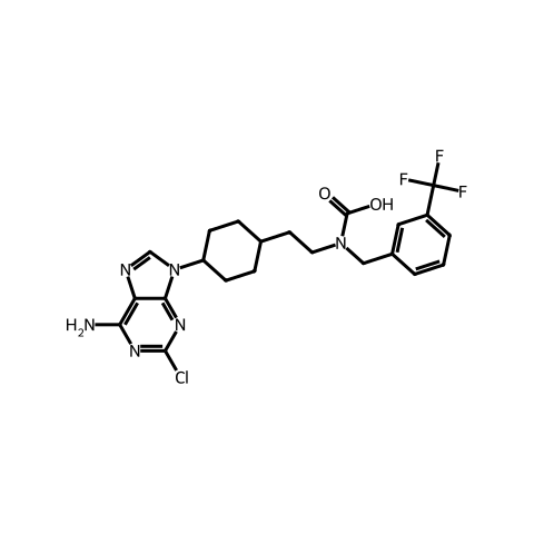 Nc1nc(Cl)nc2c1ncn2C1CCC(CCN(Cc2cccc(C(F)(F)F)c2)C(=O)O)CC1